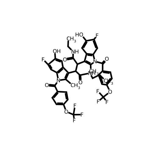 CCCNC(=O)C(c1c(C)n(C(=O)c2ccc(OC(F)(F)F)cc2)c2cc(F)c(O)cc12)C(C(=O)NCC)c1c(C)n(C(=O)c2ccc(OC(F)(F)F)cc2)c2cc(F)c(O)cc12